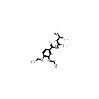 CCOc1ccc(C(=O)N[C@H](C)CC(C)C)cc1OCC